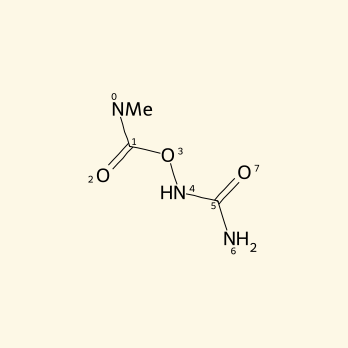 CNC(=O)ONC(N)=O